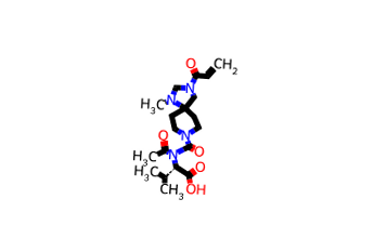 C=CC(=O)N1CN(C)C2(CCN(C(=O)N(C(C)=O)[C@H](C(=O)O)C(C)C)CC2)C1